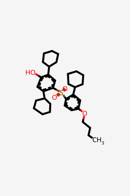 CCCCOc1ccc(S(=O)(=O)c2cc(C3CCCCC3)c(O)cc2C2CCCCC2)c(C2CCCCC2)c1